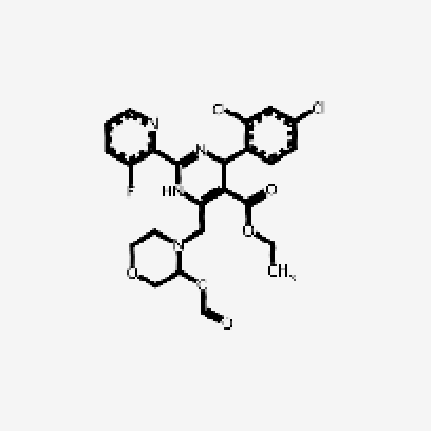 CCOC(=O)C1=C(CN2CCOCC2OC=O)NC(c2ncccc2F)=NC1c1ccc(Cl)cc1Cl